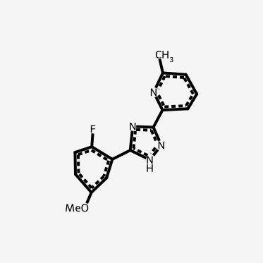 COc1ccc(F)c(-c2nc(-c3cccc(C)n3)n[nH]2)c1